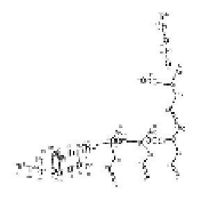 C=CCC(C(C)=O)C(=O)[O-].C=CCC(C(C)=O)C(=O)[O-].C=CCC(C(C)=O)C(=O)[O-].C=CCC(C(C)=O)C(=O)[O-].CC(C)[O-].CC(C)[O-].CC(C)[O-].CC(C)[O-].CC(C)[O-].CC(C)[O-].CC(C)[O-].CC(C)[O-].[Ti+4].[Ti+4].[Ti+4]